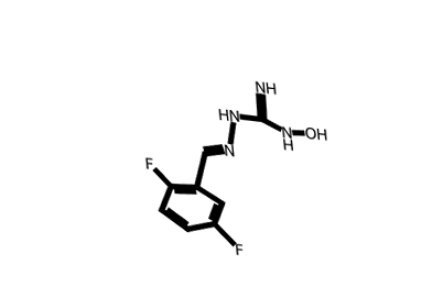 N=C(NO)NN=Cc1cc(F)ccc1F